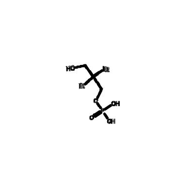 CCC(CC)(CO)COP(=O)(O)O